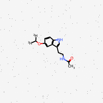 [2H]C([2H])Oc1ccc2[nH]cc(CCNC(C)=O)c2c1